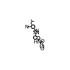 CC(C)Cc1ccc(-c2nnc(-c3cccc4c3CC[C@H]4NC(=O)N3CCOCC3)s2)cc1C#N